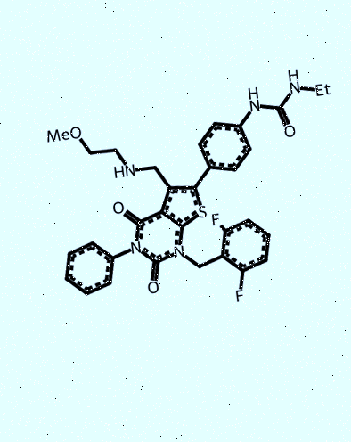 CCNC(=O)Nc1ccc(-c2sc3c(c2CNCCOC)c(=O)n(-c2ccccc2)c(=O)n3Cc2c(F)cccc2F)cc1